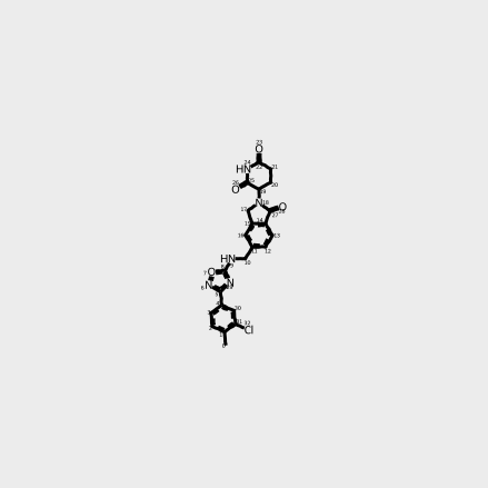 Cc1ccc(-c2noc(NCc3ccc4c(c3)CN(C3CCC(=O)NC3=O)C4=O)n2)cc1Cl